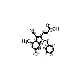 Cc1cc(C)c2c(C#N)c(/C=C/C(=O)O)n(Cc3ccccc3)c2n1